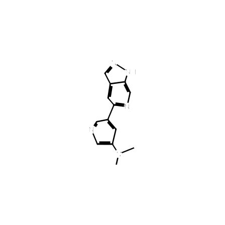 CN(C)c1cncc(-c2cc3cn[nH]c3cn2)c1